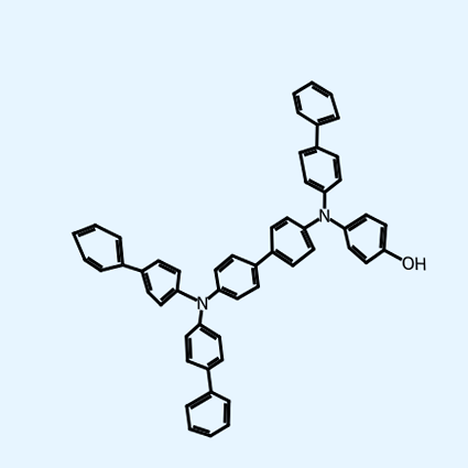 Oc1ccc(N(c2ccc(-c3ccccc3)cc2)c2ccc(-c3ccc(N(c4ccc(-c5ccccc5)cc4)c4ccc(-c5ccccc5)cc4)cc3)cc2)cc1